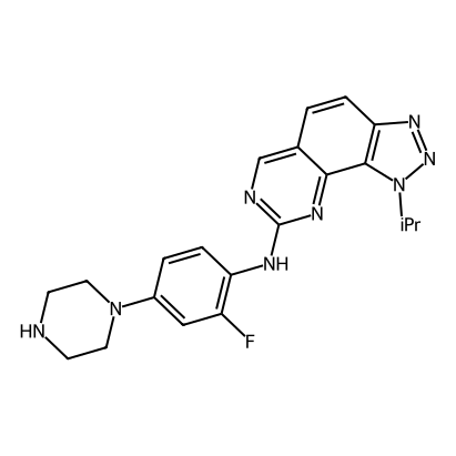 CC(C)n1nnc2ccc3cnc(Nc4ccc(N5CCNCC5)cc4F)nc3c21